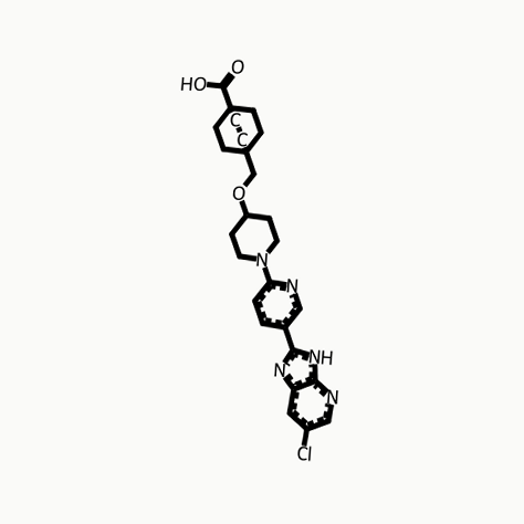 O=C(O)C12CCC(COC3CCN(c4ccc(-c5nc6cc(Cl)cnc6[nH]5)cn4)CC3)(CC1)CC2